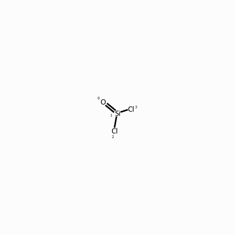 O=[Si](Cl)Cl